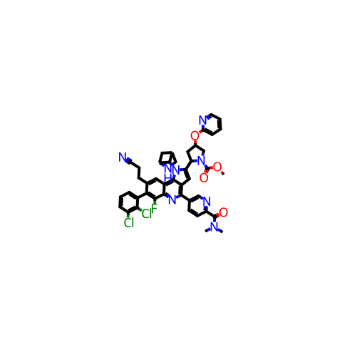 COC(=O)N1CC(Oc2ccccn2)CC1c1cc2c(-c3ccc(C(=O)N(C)C)nc3)nc3c(F)c(-c4cccc(Cl)c4Cl)c(CCC#N)cc3c2n1C1C2CNC1C2